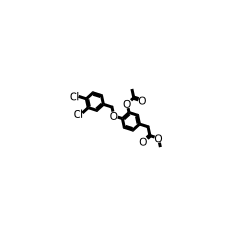 COC(=O)Cc1ccc(OCc2ccc(Cl)c(Cl)c2)c(OC(C)=O)c1